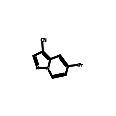 CC(C)c1ccn2ncc(C#N)c2c1